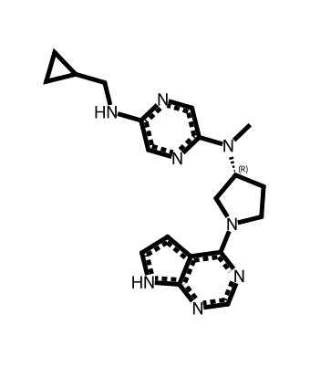 CN(c1cnc(NCC2CC2)cn1)[C@@H]1CCN(c2ncnc3[nH]ccc23)C1